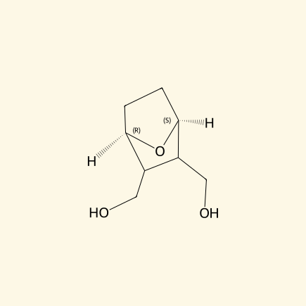 OCC1C(CO)[C@H]2CC[C@@H]1O2